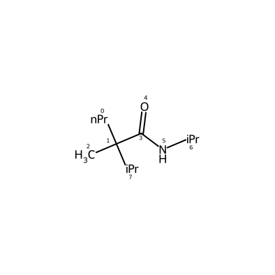 CCCC(C)(C(=O)NC(C)C)C(C)C